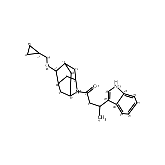 CC(CC(=O)N1C2CC3CC1CC(C2)C3OCC1CC1)c1c[nH]c2ccccc12